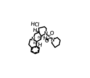 Cl.O=S(=O)(N1CCCCC1)N1CCC[C@@H]2CN3CCc4ccccc4[C@@H]3C[C@@H]21